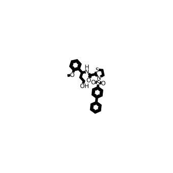 COc1ccccc1C(CCO)NC(=O)C1SCCN1S(=O)(=O)c1ccc(-c2ccccc2)cc1